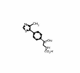 Cc1ncsc1-c1ccc([C@@H](O)CNC(=O)O)cc1